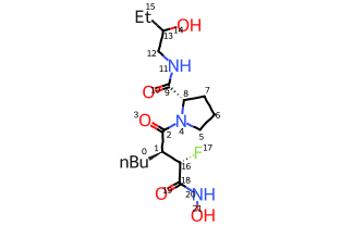 CCCC[C@@H](C(=O)N1CCC[C@H]1C(=O)NCC(O)CC)[C@H](F)C(=O)NO